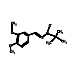 COc1cc(C=N[S+]([O-])C(C)(C)C)cnc1OC